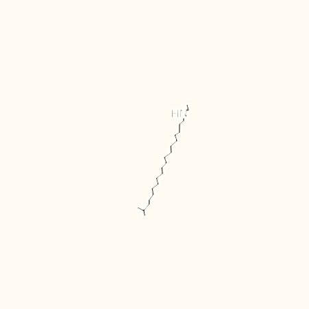 CCNCCCCCCCCCCCCCCCCCC(C)C